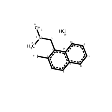 CN(C)Cc1c(I)ccc2ccccc12.Cl